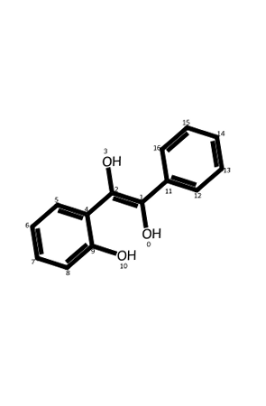 OC(=C(O)c1ccccc1O)c1ccccc1